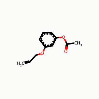 C=CCOc1cccc(OC(C)=O)c1